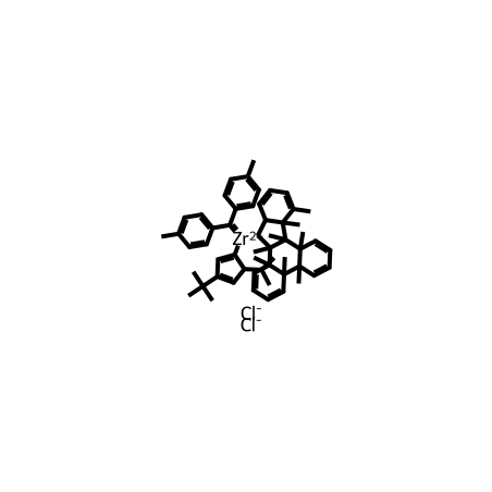 CC1=CC=CC2[CH]([Zr+2]([C]3=CC(C(C)(C)C)=CC3C(C)C)=[C](c3ccc(C)cc3)c3ccc(C)cc3)C3(C)C4(C)C=CC=CC4(C)C4(C)C=CC=CC4(C)C3(C)C12C.[Cl-].[Cl-]